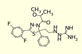 CO[C@@H](C)C(=O)N1N=C(c2cc(F)ccc2F)SC1(CCNNC(=N)N)c1ccccc1